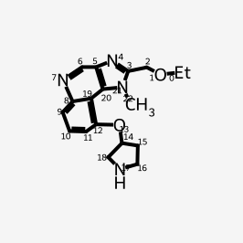 CCOCc1nc2cnc3cccc(OC4CCNC4)c3c2n1C